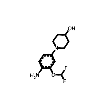 Nc1ccc(N2CCC(O)CC2)cc1OC(F)F